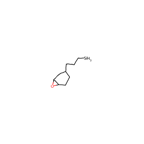 [SiH3]CCCC1CCC2OC2C1